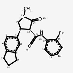 CN1C[C@H](c2ccc3c(c2)CCC3)[C@@H](C(=O)Nc2ccccc2F)C1=O